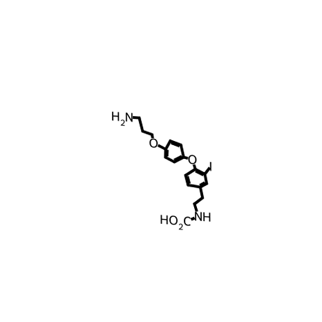 NCCCOc1ccc(Oc2ccc(CCNC(=O)O)cc2I)cc1